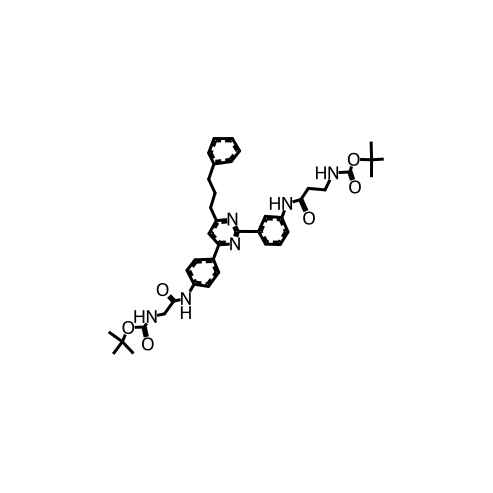 CC(C)(C)OC(=O)NCCC(=O)Nc1cccc(-c2nc(CCCc3ccccc3)cc(-c3ccc(NC(=O)CNC(=O)OC(C)(C)C)cc3)n2)c1